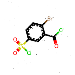 O=C(Cl)c1cc(S(=O)(=O)Cl)ccc1Br